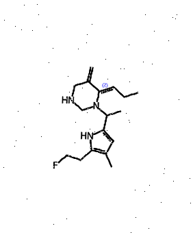 C=C1CNCN(C(C)c2cc(C)c(CCF)[nH]2)/C1=C\CC